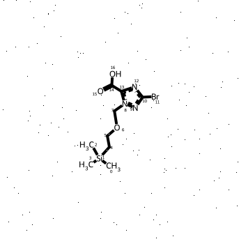 C[Si](C)(C)CCOCn1nc(Br)nc1C(=O)O